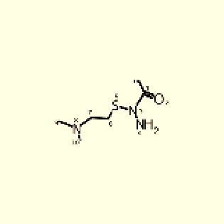 CC(=O)N(N)SCCN(C)C